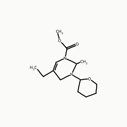 CCC1=CN(C(=O)OC)C(C)N(C2CCCCO2)C1